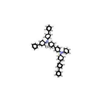 CC1C=C(c2ccccc2)CCC1N(C1=CC=C(C2=CCC(N(C3=CC=CCC3)C3C=CC(c4ccc(-c5ccccc5)cc4)=CC3)C=C2)CC1)C1=CCC(c2ccccc2)CC1